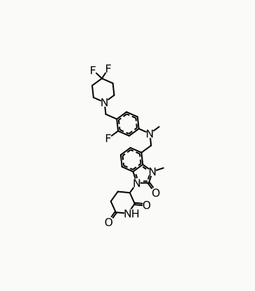 CN(Cc1cccc2c1n(C)c(=O)n2C1CCC(=O)NC1=O)c1ccc(CN2CCC(F)(F)CC2)c(F)c1